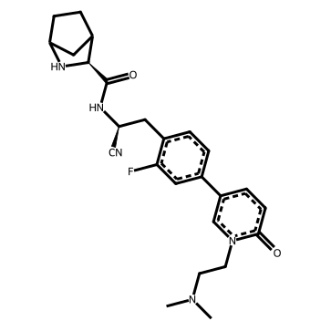 CN(C)CCn1cc(-c2ccc(C[C@@H](C#N)NC(=O)[C@H]3NC4CCC3C4)c(F)c2)ccc1=O